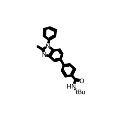 Cc1nc2cc(-c3ccc(C(=O)NC(C)(C)C)cc3)ccc2n1-c1ccccc1